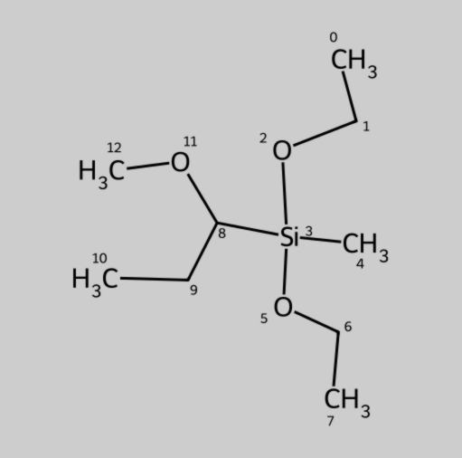 CCO[Si](C)(OCC)C(CC)OC